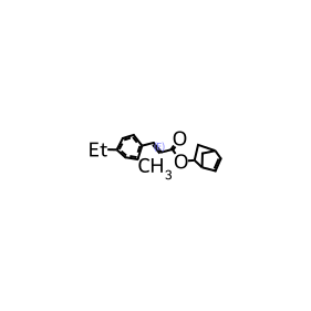 CCc1ccc(/C=C/C(=O)OC2CC3C=CC2C3)c(C)c1